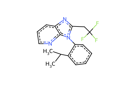 CC(C)c1ccccc1-n1c(CC(F)(F)F)nc2cccnc21